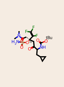 CN(C)C(=O)C[C@](CC(=O)C(CC1CC1)NC(=O)OC(C)(C)C)(OS(N)(=O)=O)C(F)=C(F)F